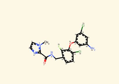 Cn1ccnc1C(=O)NCc1ccc(Cl)c(Oc2cc(N)cc(Cl)c2)c1F